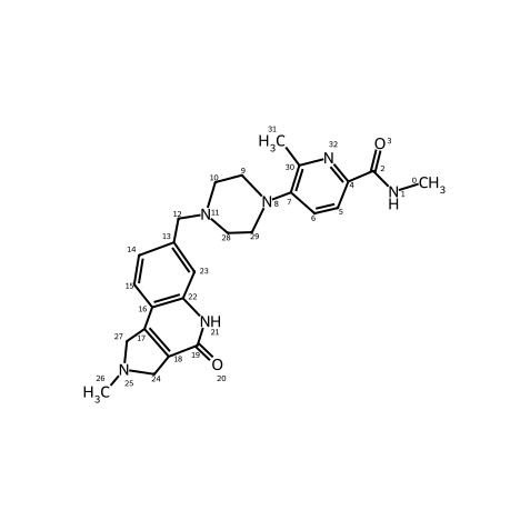 CNC(=O)c1ccc(N2CCN(Cc3ccc4c5c(c(=O)[nH]c4c3)CN(C)C5)CC2)c(C)n1